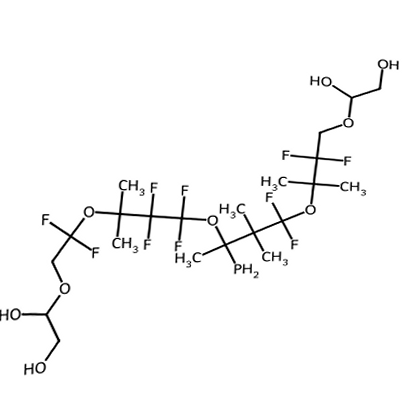 CC(C)(OC(F)(F)C(C)(C)C(C)(P)OC(F)(F)C(F)(F)C(C)(C)OC(F)(F)COC(O)CO)C(F)(F)COC(O)CO